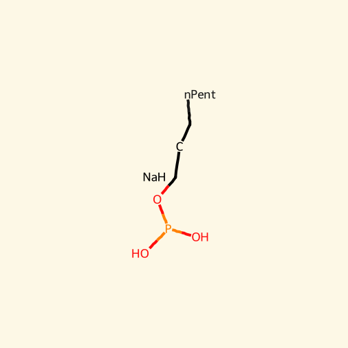 CCCCCCCCOP(O)O.[NaH]